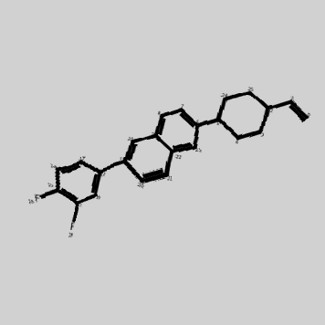 C=CC1CCC(c2ccc3cc(-c4ccc(F)c(F)c4)ccc3c2)CC1